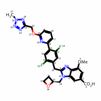 COc1cc(C(=O)O)cc2c1nc(Cc1cc(F)c(-c3cccc(OCc4nnn(C)n4)n3)cc1F)n2C[C@@H]1CCO1